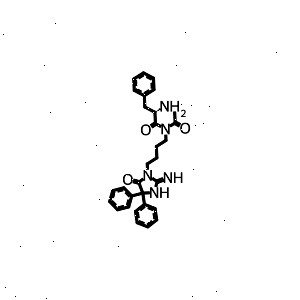 CC(=O)N(CCCCN1C(=N)NC(c2ccccc2)(c2ccccc2)C1=O)C(=O)[C@@H](N)Cc1ccccc1